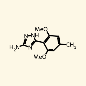 COc1cc(C)cc(OC)c1-c1nc(N)n[nH]1